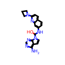 Nc1ncnc2c1ccn2C(O)Nc1ccc2ccc(N3CCC3)nc2c1